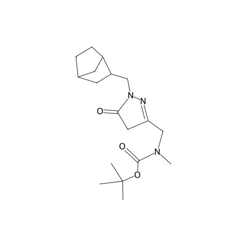 CN(CC1=NN(CC2CC3CCC2C3)C(=O)C1)C(=O)OC(C)(C)C